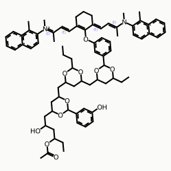 CCCC1OC(CC2CC(CC)OC(c3cccc(OC4=C(/C=C/C(C)=[N+](\C)c5ccc6ccccc6c5C)CCC/C4=C\C=C(/C)N(C)c4ccc5ccccc5c4C)c3)O2)CC(CC2CC(CC(O)CC(CC)OC(C)=O)OC(c3cccc(O)c3)O2)O1